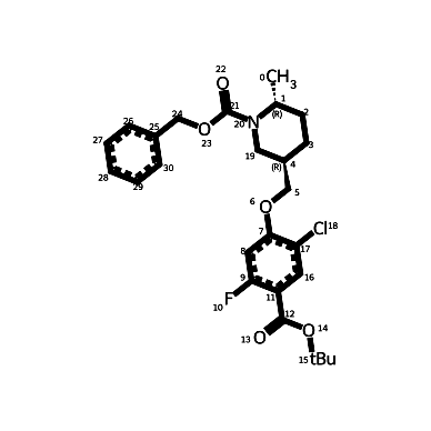 C[C@@H]1CC[C@@H](COc2cc(F)c(C(=O)OC(C)(C)C)cc2Cl)CN1C(=O)OCc1ccccc1